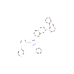 C1=CC2c3ccccc3OC2C(c2nc(-c3ccccc3)nc(-c3ccc4ccc(-c5cccc6oc7ccccc7c56)cc4c3)n2)=C1